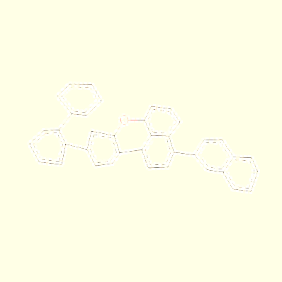 c1ccc(-c2ccccc2-c2ccc3c(c2)Oc2cccc4c(-c5ccc6ccccc6c5)ccc-3c24)cc1